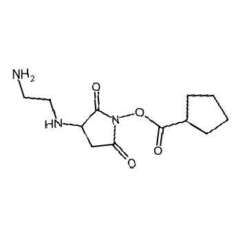 NCCNC1CC(=O)N(OC(=O)C2CCCC2)C1=O